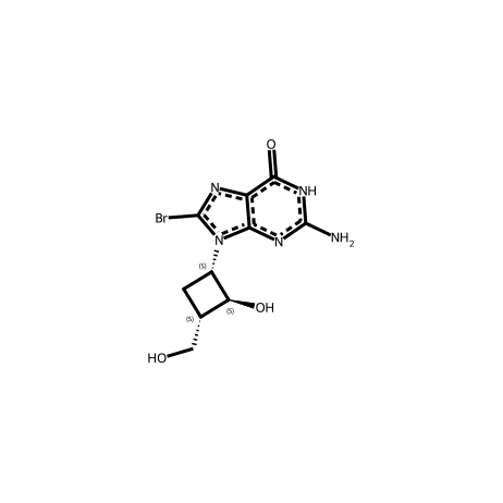 Nc1nc2c(nc(Br)n2[C@H]2C[C@@H](CO)[C@@H]2O)c(=O)[nH]1